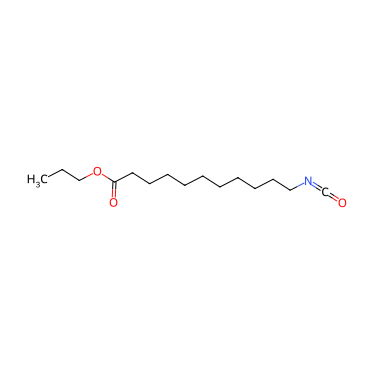 CCCOC(=O)CCCCCCCCCCN=C=O